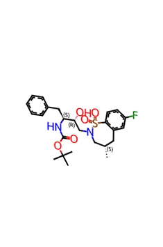 C[C@H]1Cc2cc(F)ccc2S(=O)(=O)N(C[C@@H](O)[C@H](Cc2ccccc2)NC(=O)OC(C)(C)C)C1